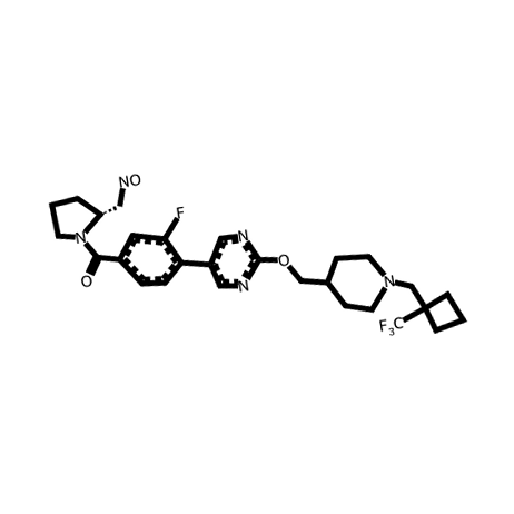 O=NC[C@H]1CCCN1C(=O)c1ccc(-c2cnc(OCC3CCN(CC4(C(F)(F)F)CCC4)CC3)nc2)c(F)c1